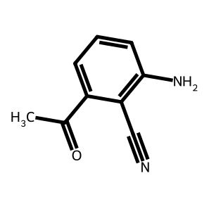 CC(=O)c1cccc(N)c1C#N